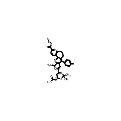 CC(C)c1nc2c(c(-c3ccc(F)cc3)c1/C=C/[C@@H]1C[C@H](CC(=O)O)OC(C)(C)O1)CCCc1nc(C(=O)N=[N+]=[N-])ccc1-2